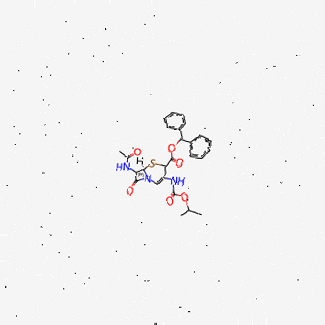 CC(=O)NC1C(=O)N2C=C(NC(=O)OC(C)C)C(C(=O)OC(c3ccccc3)c3ccccc3)S[C@H]12